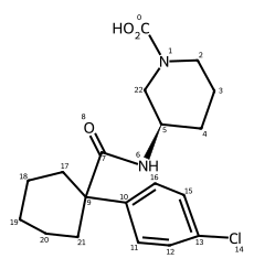 O=C(O)N1CCC[C@@H](NC(=O)C2(c3ccc(Cl)cc3)CCCCC2)C1